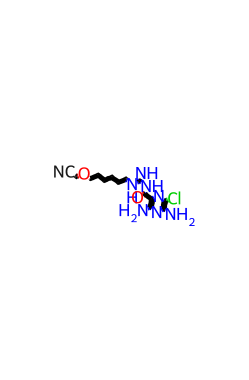 N#CCOCCCCCCNC(=N)NC(=O)c1nc(Cl)c(N)nc1N